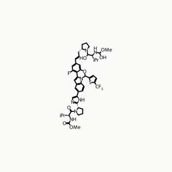 COC(=O)N[C@H](C(=O)N1CCC[C@H]1c1ncc(-c2ccc3c(c2)cc2n3C(c3ccc(C(F)(F)F)s3)Oc3cc(C=CC[C@@H]4CCCN4C(O)[C@@H](NC(O)OC)C(C)C)cc(F)c3-2)[nH]1)C(C)C